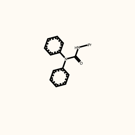 CC(C)NC(=O)N(c1ccccc1)c1ccccc1